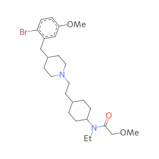 CCN(C(=O)COC)C1CCC(CCN2CCC(Cc3cc(OC)ccc3Br)CC2)CC1